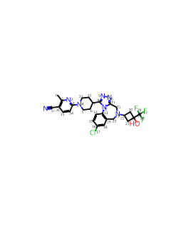 Cc1nc(N2CCC(c3nnc4n3-c3ccc(Cl)cc3CN(C3CC(O)(C(F)(F)F)C3)C4)CC2)ccc1C#N